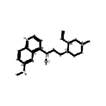 C=C[C@H]1CN(C)CC[C@H]1CC[C@H](O)c1ccnc2ccc(OC)cc12